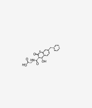 O=C(O)CNC(=O)c1c(O)c2ccc(Cc3ccccc3)cc2sc1=O